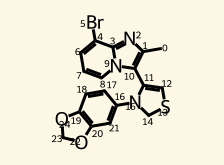 Cc1nc2c(Br)cccn2c1C1=CSCN1c1ccc2c(c1)OCO2